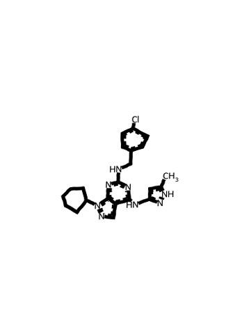 Cc1cc(Nc2nc(NCc3ccc(Cl)cc3)nc3c2cnn3C2CCCCC2)n[nH]1